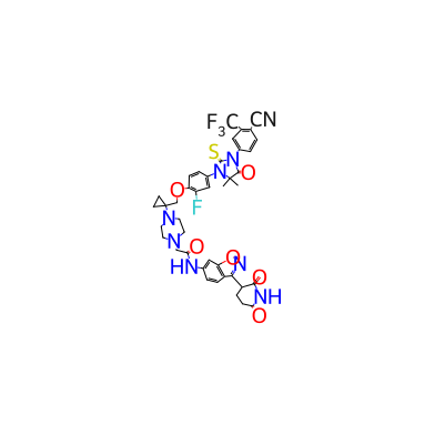 CC1(C)C(=O)N(c2ccc(C#N)c(C(F)(F)F)c2)C(=S)N1c1ccc(OCC2(N3CCN(CC(=O)Nc4ccc5c(C6CCC(=O)NC6=O)noc5c4)CC3)CC2)c(F)c1